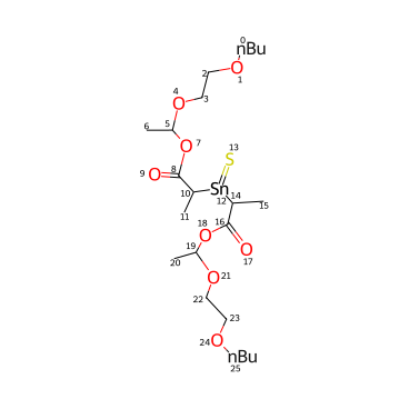 CCCCOCCOC(C)OC(=O)[CH](C)[Sn](=[S])[CH](C)C(=O)OC(C)OCCOCCCC